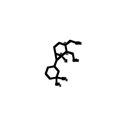 CC(=O)OC[C@@H]1CCC2C(C3CCCC(C)(C)C3)[C@@H]2[C@@H]1COC(C)=O